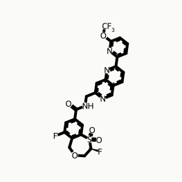 O=C(NCc1cc2nc(-c3cccc(OC(F)(F)F)n3)ccc2cn1)c1cc(F)c2c(c1)S(=O)(=O)[C@@H](F)COC2